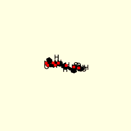 CN(C)C(=O)c1cc2cnc(Nc3ccc(N4C[C@@H]5C(C#Cc6cccc7c6n(C)c(=O)n7[C@@H]6CCC(=O)NC6=O)[C@@H]5C4)cn3)nc2n1C1CCCC1